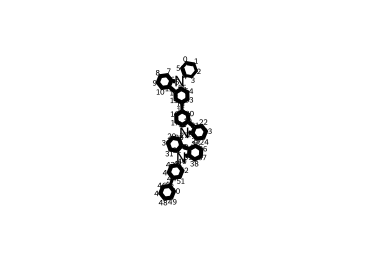 C1=CCCC(n2c3ccccc3c3cc(-c4ccc5c(c4)c4ccccc4n5-c4cccc5c4c4ccccc4n5-c4ccc(-c5ccccc5)cc4)ccc32)=C1